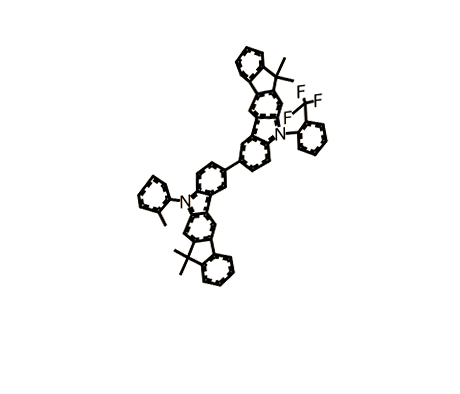 Cc1ccccc1-n1c2ccc(-c3ccc4c(c3)c3cc5c(cc3n4-c3ccccc3C(F)(F)F)C(C)(C)c3ccccc3-5)cc2c2cc3c(cc21)C(C)(C)c1ccccc1-3